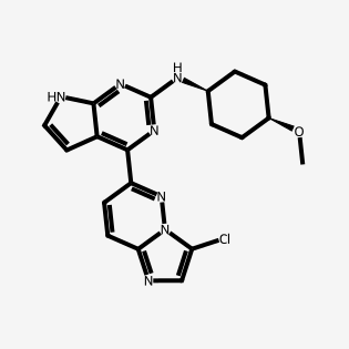 CO[C@H]1CC[C@@H](Nc2nc(-c3ccc4ncc(Cl)n4n3)c3cc[nH]c3n2)CC1